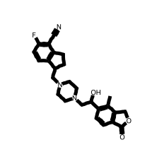 Cc1c(C(O)CN2CCN(CC3CCc4c3ccc(F)c4C#N)CC2)ccc2c1COC2=O